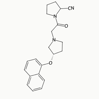 N#CC1CCCN1C(=O)CN1CC[C@H](Oc2cccc3ccccc23)C1